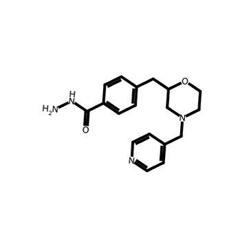 NNC(=O)c1ccc(CC2CN(Cc3ccncc3)CCO2)cc1